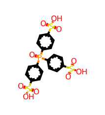 O=P(c1ccc(S(=O)(=O)O)cc1)(c1ccc(S(=O)(=O)O)cc1)c1ccc(S(=O)(=O)O)cc1